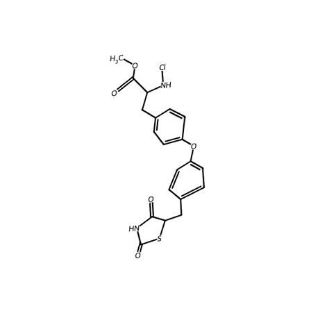 COC(=O)C(Cc1ccc(Oc2ccc(CC3SC(=O)NC3=O)cc2)cc1)NCl